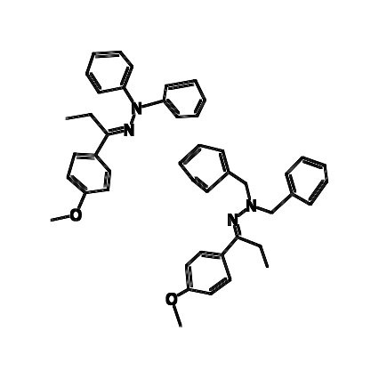 CCC(=NN(Cc1ccccc1)Cc1ccccc1)c1ccc(OC)cc1.CCC(=NN(c1ccccc1)c1ccccc1)c1ccc(OC)cc1